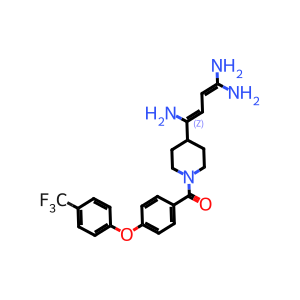 NC(N)=C/C=C(\N)C1CCN(C(=O)c2ccc(Oc3ccc(C(F)(F)F)cc3)cc2)CC1